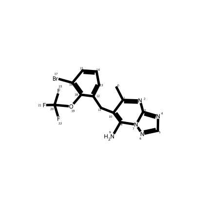 Cc1nc2ncnn2c(N)c1Cc1cccc(Br)c1OC(F)(F)F